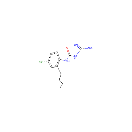 CCCCc1cc(Cl)ccc1NC(=O)NC(=N)N